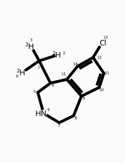 [2H]C([2H])([2H])C1CNCCc2ccc(Cl)cc21